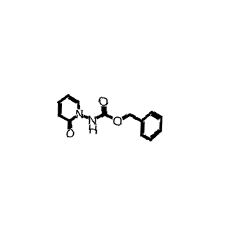 O=C(Nn1ccccc1=O)OCc1ccccc1